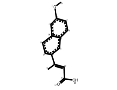 COc1ccc2cc(C(C)=CC(=O)O)ccc2c1